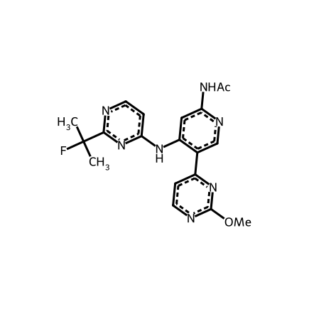 COc1nccc(-c2cnc(NC(C)=O)cc2Nc2ccnc(C(C)(C)F)n2)n1